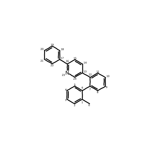 Cc1ccccc1-c1ccccc1-c1ccc(-c2ccccc2)nc1